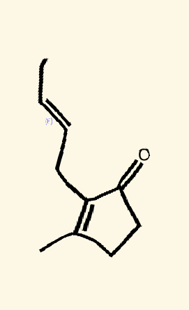 C/C=C/CC1=C(C)CCC1=O